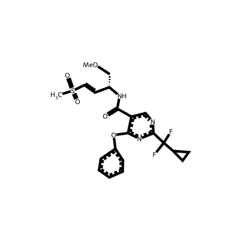 COC[C@@H](/C=C/S(C)(=O)=O)NC(=O)c1cnc(C(F)(F)C2CC2)nc1Oc1ccccc1